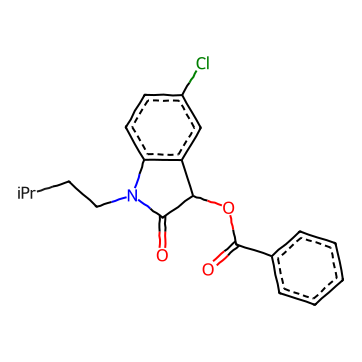 CC(C)CCN1C(=O)C(OC(=O)c2ccccc2)c2cc(Cl)ccc21